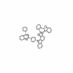 c1ccc(-c2nc(-c3ccc(-n4c5ccccc5c5ccc6c(nc7c8ccccc8c8oc9ccccc9c8n67)c54)cc3)nc3ccccc23)cc1